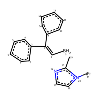 BC=C(c1ccccc1)c1ccccc1.Cc1nccn1C(C)C